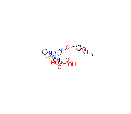 COc1ccc(CCOCCN2CCC(N(C)C3=Nc4ccccc4CS3)CC2)cc1.O=C(O)/C=C/C(=O)O